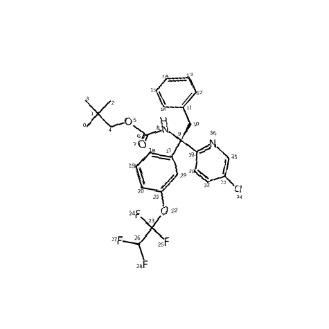 CC(C)(C)COC(=O)N[C@@](Cc1ccccc1)(c1cccc(OC(F)(F)C(F)F)c1)c1ccc(Cl)cn1